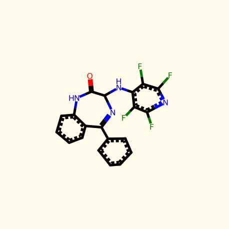 O=C1Nc2ccccc2C(c2ccccc2)=NC1Nc1c(F)c(F)nc(F)c1F